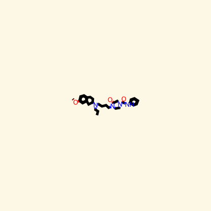 CCCN(CCCCN1CCN(C(=O)Nc2ccccc2)CC1=O)C1CCc2ccc(OC)cc2C1